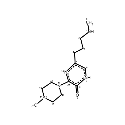 CNCCCc1c[nH]c(=O)c(N2CC[S+]([O-])CC2)n1